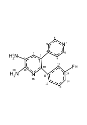 Nc1cc(-c2ccncc2)c(-c2cccc(F)c2)nc1N